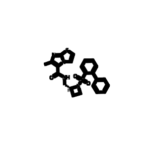 Cc1nc2sccn2c1C(=O)NC[C@H]1CCN1S(=O)(=O)c1ccccc1-c1ccccc1